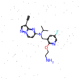 C#Cc1cnn2ccc(N(Cc3cc(F)cnc3OCCN)C(C)C)nc12